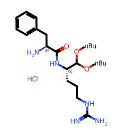 CCCCOC(OCCCC)[C@H](CCCNC(=N)N)NC(=O)[C@@H](N)Cc1ccccc1.Cl